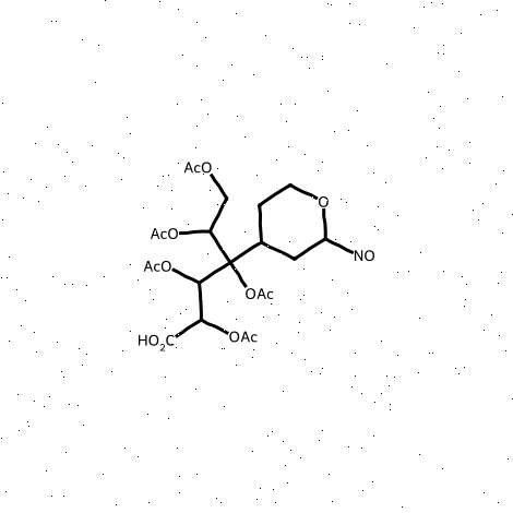 CC(=O)OCC(OC(C)=O)C(OC(C)=O)(C1CCOC(N=O)C1)C(OC(C)=O)C(OC(C)=O)C(=O)O